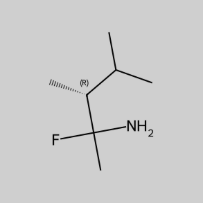 CC(C)[C@@H](C)C(C)(N)F